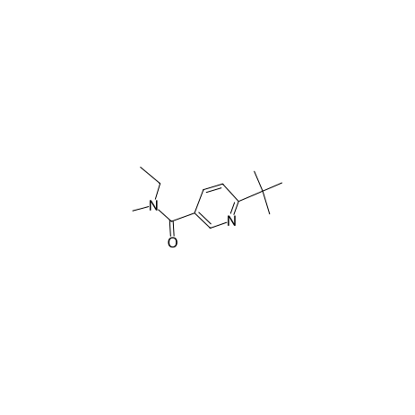 CCN(C)C(=O)c1ccc(C(C)(C)C)nc1